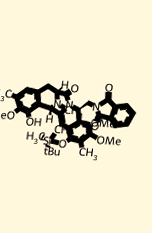 COc1c(C)cc2c(c1O)[C@H]1C3=Cc4c(O[Si](C)(C)C(C)(C)C)c(C)c(OC)c(OC)c4[C@H](CN4C(=O)c5ccccc5C4=O)N3C(=O)[C@H](C2)N1C